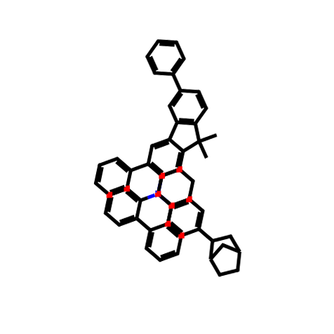 CC1(C)c2ccc(-c3ccccc3)cc2-c2cc(-c3ccccc3)c(N(c3ccc(C4CC5CCC4C5)cc3)c3ccccc3-c3ccccc3C3CCCCC3)cc21